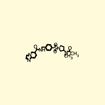 CC(=O)N(C)C1CCN(S(=O)(=O)c2ccc(CNC(=O)c3ccc4nccn4c3)cc2)C1